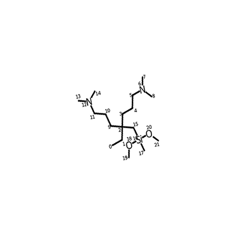 CCC(CCCN(C)C)(CCCN(C)C)C[Si](C)(OC)OC